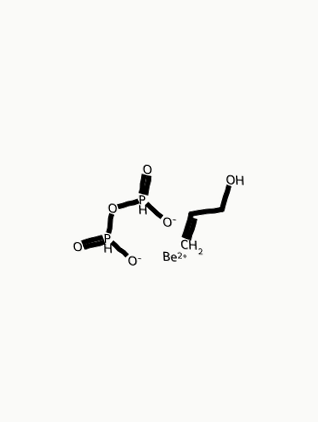 C=CCO.O=[PH]([O-])O[PH](=O)[O-].[Be+2]